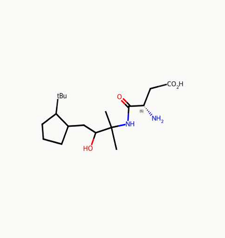 CC(C)(C)C1CCCC1CC(O)C(C)(C)NC(=O)[C@@H](N)CC(=O)O